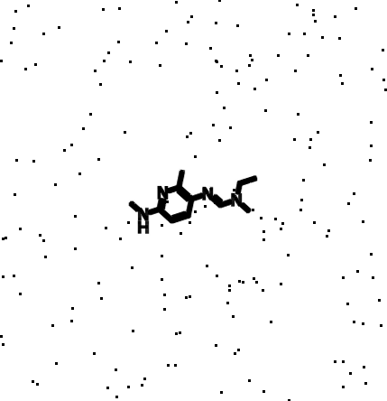 CCN(C)C=Nc1ccc(NC)nc1C